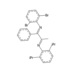 CC(=N\c1c(C(C)C)cccc1C(C)C)/C(=N/c1c(Br)cccc1Br)c1ccccc1